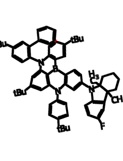 CC(C)(C)c1ccc(N2c3cc(N4c5ccc(F)cc5C5(C)CCCCC45C)ccc3B3c4cc(C(C)(C)C)ccc4N(c4ccc(C(C)(C)C)cc4-c4ccccc4)c4cc(C(C)(C)C)cc2c43)cc1